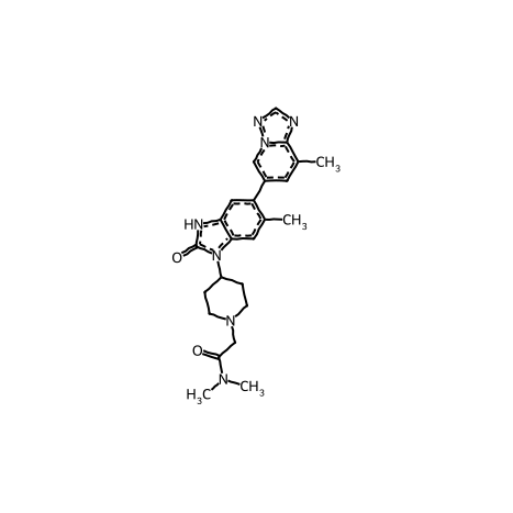 Cc1cc2c(cc1-c1cc(C)c3ncnn3c1)[nH]c(=O)n2C1CCN(CC(=O)N(C)C)CC1